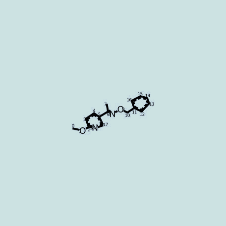 COc1ccc(/C(C)=N/OCc2ccccc2)cn1